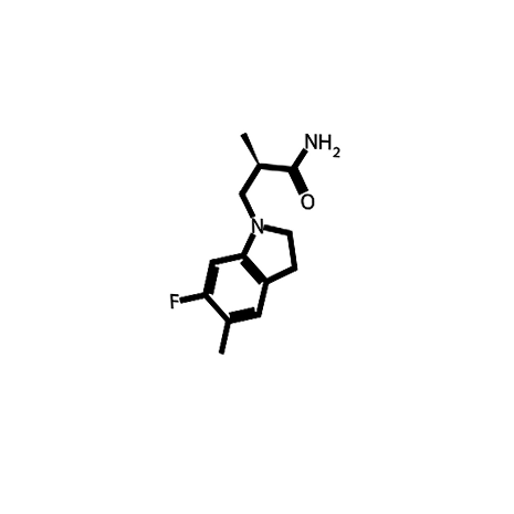 Cc1cc2c(cc1F)N(C[C@@H](C)C(N)=O)CC2